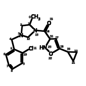 CC1CN(Cc2ccccc2Cl)CN1C(=O)C1C=C(C2CC2)ON1